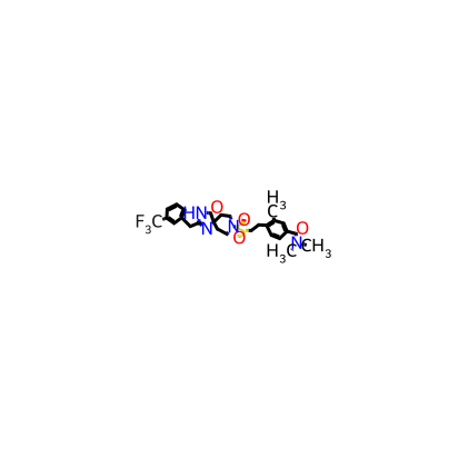 Cc1cc(C(=O)N(C)C)ccc1CCS(=O)(=O)N1CCC2(CC1)N=C(Cc1cccc(C(F)(F)F)c1)NC2=O